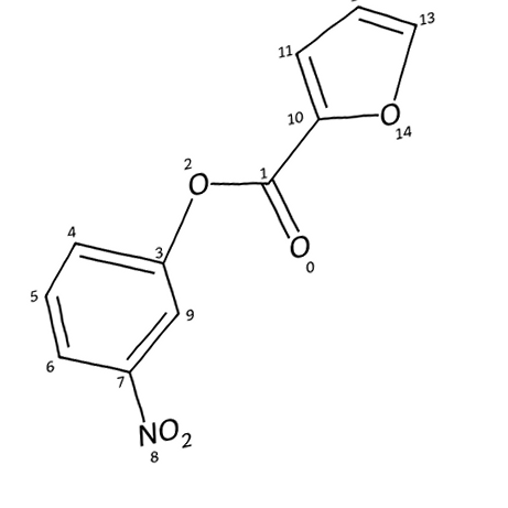 O=C(Oc1cccc([N+](=O)[O-])c1)c1ccco1